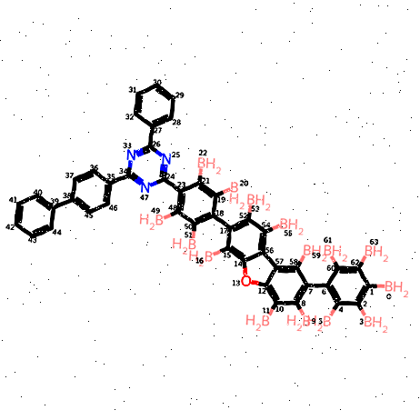 Bc1c(B)c(B)c(-c2c(B)c(B)c3oc4c(B)c(-c5c(B)c(B)c(-c6nc(-c7ccccc7)nc(-c7ccc(-c8ccccc8)cc7)n6)c(B)c5B)c(B)c(B)c4c3c2B)c(B)c1B